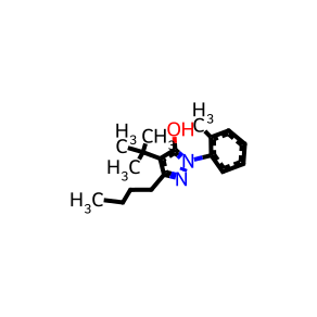 CCCCc1nn(-c2ccccc2C)c(O)c1C(C)(C)C